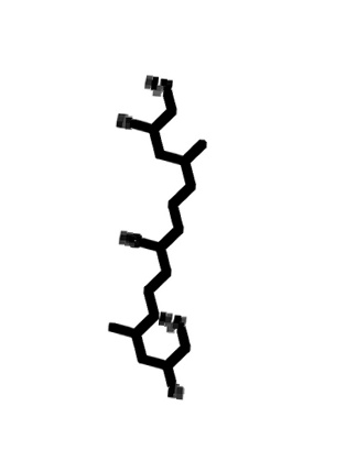 CCC(CN)CC(C)CCCC(O)CCCC(C)CC(CC)CN